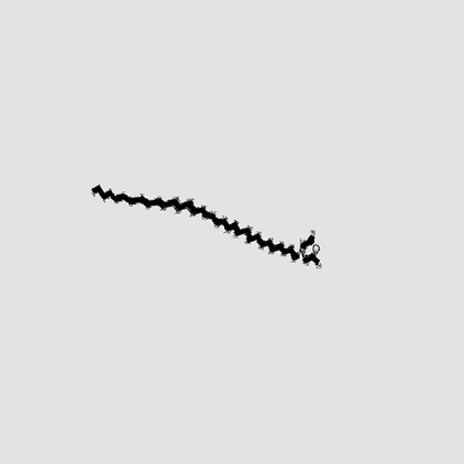 CCCCCCCCCCCCCCCCCCCCCCCCCCCCCCCCCN1CC(C)OC(C)C1